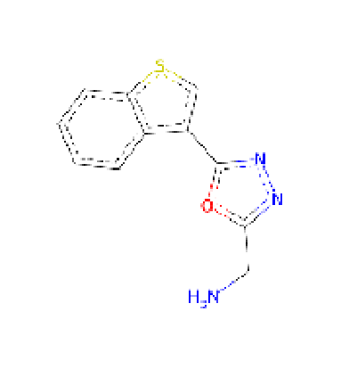 NCc1nnc(-c2csc3ccccc23)o1